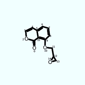 O=c1occc2cccc(OCC3CO3)c12